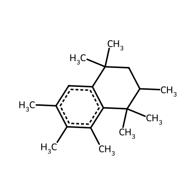 Cc1cc2c(c(C)c1C)C(C)(C)C(C)CC2(C)C